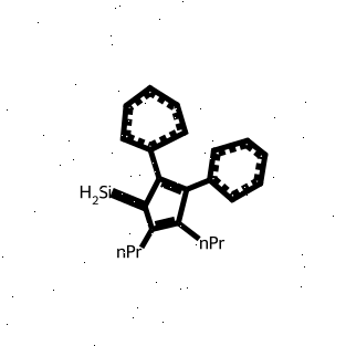 CCCC1=C(CCC)C(c2ccccc2)=C(c2ccccc2)C1=[SiH2]